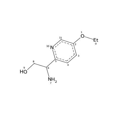 CCOc1ccc(C(N)CO)nc1